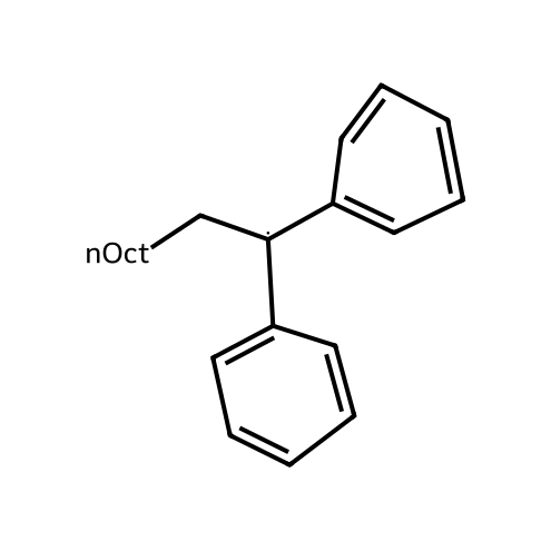 CCCCCCCCC[C](c1ccccc1)c1ccccc1